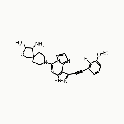 CCOc1cccc(C#Cc2n[nH]c3nc(N4CCC5(CC4)CO[C@@H](C)[C@H]5N)n4ccnc4c23)c1F